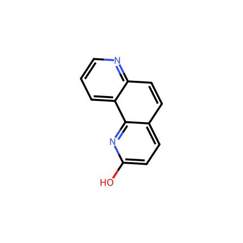 Oc1ccc2ccc3ncccc3c2n1